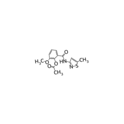 COc1cccc(C(=O)Nc2cc(C)sn2)c1OC(C)=O